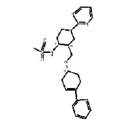 CS(=O)(=O)N[C@H]1CCN(c2ncccn2)C[C@H]1CO[C@H]1CC=C(c2ccccc2)CC1